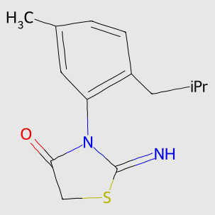 Cc1ccc(CC(C)C)c(N2C(=N)SCC2=O)c1